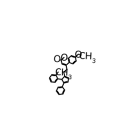 COc1ccc2c(CCC3=CC=C(c4ccccc4)C3c3ccccc3C)cc(=O)oc2c1